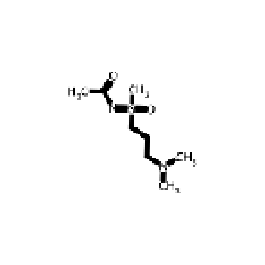 CC(=O)N=S(C)(=O)CCCN(C)C